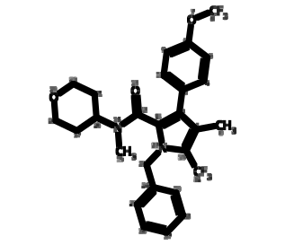 Cc1c(-c2ccc(OC(F)(F)F)cc2)c(C(=O)N(C)C2CCOCC2)n(Cc2ccccc2)c1C(F)(F)F